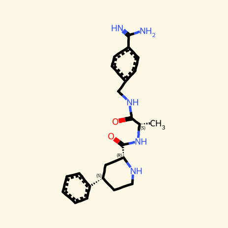 C[C@H](NC(=O)[C@H]1C[C@@H](c2ccccc2)CCN1)C(=O)NCc1ccc(C(=N)N)cc1